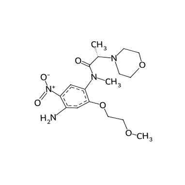 COCCOc1cc(N)c([N+](=O)[O-])cc1N(C)C(=O)[C@H](C)N1CCOCC1